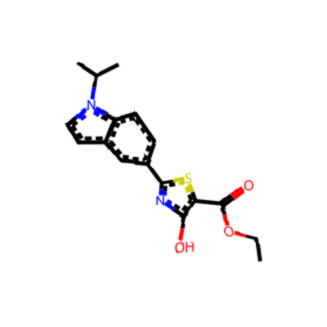 CCOC(=O)c1sc(-c2ccc3c(ccn3C(C)C)c2)nc1O